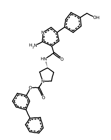 Nc1ncc(-c2ccc(CO)cc2)cc1C(=O)N[C@@H]1CCN(C(=O)Oc2cccc(-c3ccccc3)c2)C1